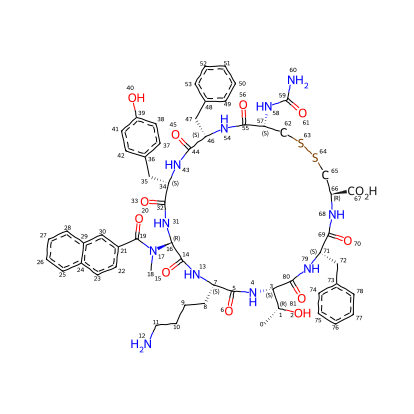 C[C@@H](O)[C@@H]1NC(=O)[C@H](CCCCN)NC(=O)[C@@H](N(C)C(=O)c2ccc3ccccc3c2)NC(=O)[C@H](Cc2ccc(O)cc2)NC(=O)[C@H](Cc2ccccc2)NC(=O)[C@H](NC(N)=O)CSSC[C@@H](C(=O)O)NC(=O)[C@H](Cc2ccccc2)NC1=O